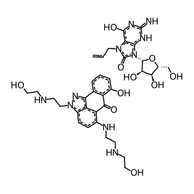 C=CCn1c(=O)n([C@@H]2O[C@H](CO)[C@@H](O)[C@H]2O)c2[nH]c(=N)nc(O)c21.O=C1c2c(O)cccc2-c2nn(CCNCCO)c3ccc(NCCNCCO)c1c23